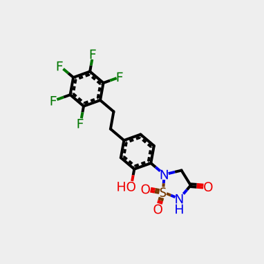 O=C1CN(c2ccc(CCc3c(F)c(F)c(F)c(F)c3F)cc2O)S(=O)(=O)N1